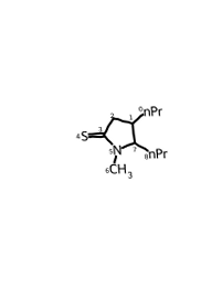 CCCC1CC(=S)N(C)C1CCC